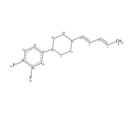 CC=CC=CC1CCC(c2ccc(F)c(F)c2)CC1